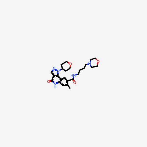 Cc1cc2[nH]c(=O)c3cnn(C4CCOCC4)c3c2cc1C(=O)NCCCCN1CCOCC1